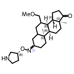 COCC1CC2C/C(=N\O[C@@H]3CCNC3)CC[C@]2(C)[C@@H]2CC[C@]3(C)C(=O)CC[C@H]3[C@H]12